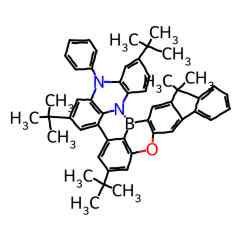 CC(C)(C)c1cc2c3c(c1)-c1cc(C(C)(C)C)cc4c1N(B3c1cc3c(cc1O2)-c1ccccc1C3(C)C)c1ccc(C(C)(C)C)cc1N4c1ccccc1